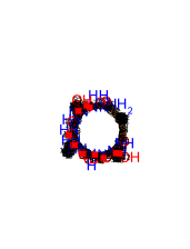 CCC[C@@H]1NC(=O)[C@H](Cc2cccc3ccccc23)NC(=O)[C@H]([C@@H](C)O)NC(=O)[C@@H]2CCCN2C(=O)[C@H](Cc2ccc(O)cc2)NC(=O)[C@H](C(C)(C)C)NC(=O)CCSCc2cccc(c2)CSC[C@@H](C(N)=O)NC(=O)[C@H](C)NC(=O)[C@](C)(C(C)C)NC(=O)[C@H](Cc2ccc(O)cc2)NC(=O)[C@H](C)NC1=O